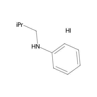 CC(C)CNc1ccccc1.I